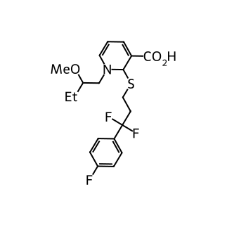 CCC(CN1C=CC=C(C(=O)O)C1SCCC(F)(F)c1ccc(F)cc1)OC